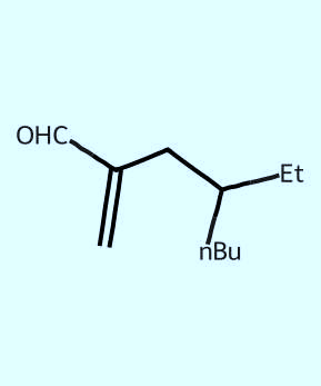 C=C(C=O)CC(CC)CCCC